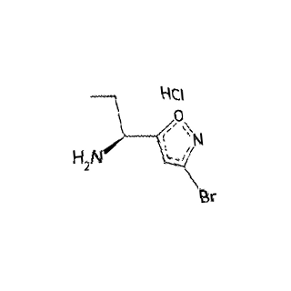 CC[C@H](N)c1cc(Br)no1.Cl